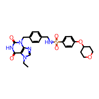 CCn1cnc2c1c(=O)[nH]c(=O)n2Cc1ccc(CNS(=O)(=O)c2ccc(OC3CCOCC3)cc2)cc1